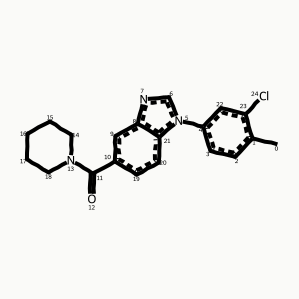 Cc1ccc(-n2cnc3cc(C(=O)N4CCCCC4)ccc32)cc1Cl